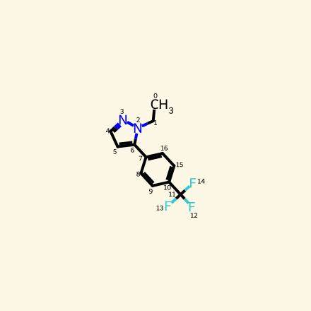 CCn1nccc1-c1ccc(C(F)(F)F)cc1